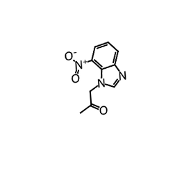 CC(=O)Cn1cnc2cccc([N+](=O)[O-])c21